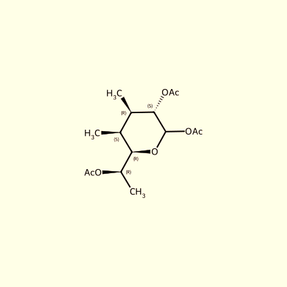 CC(=O)OC1O[C@@H]([C@@H](C)OC(C)=O)[C@@H](C)[C@@H](C)[C@@H]1OC(C)=O